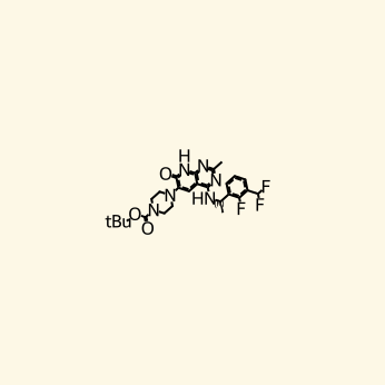 Cc1nc(N[C@H](C)c2cccc(C(F)F)c2F)c2cc(N3CCN(C(=O)OC(C)(C)C)CC3)c(=O)[nH]c2n1